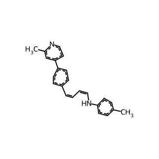 Cc1ccc(N/C=C\C=C/c2ccc(-c3ccnc(C)c3)cc2)cc1